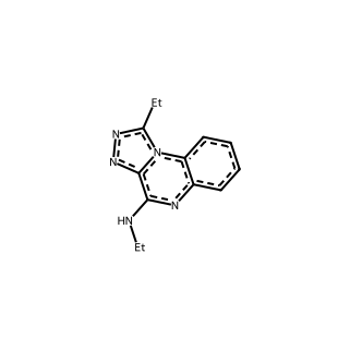 CCNc1nc2ccccc2n2c(CC)nnc12